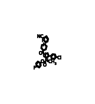 CN(C(=O)Oc1ccc(F)cc1)[C@@H]1CN(C(=O)C2CCN(c3cccc(C#N)n3)CC2)C[C@H]1c1ccc(Cl)cc1